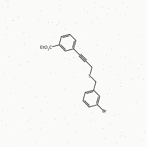 CCOC(=O)c1cccc(C#CCSCc2cc[c]c(Br)c2)c1